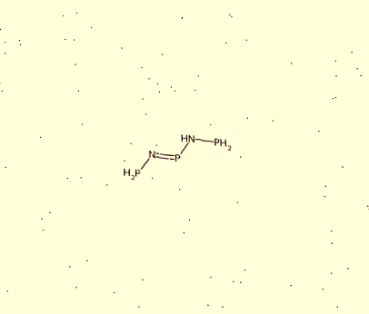 PN=PNP